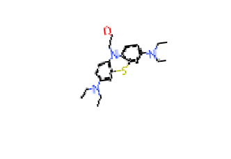 CCN(CC)c1ccc2c(c1)Sc1cc(N(CC)CC)ccc1N2CC=O